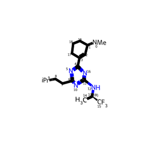 CNC1C=C(c2nc(CCC(C)C)nc(N[C@H](C)C(F)(F)F)n2)CCC1